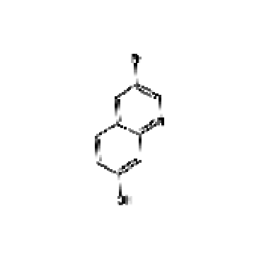 Oc1ccc2cc(Br)cnc2c1